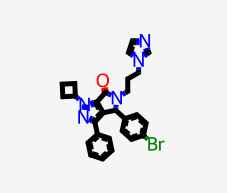 O=C1c2c(c(-c3ccccc3)nn2C2CCC2)C(c2ccc(Br)cc2)N1CCCn1ccnc1